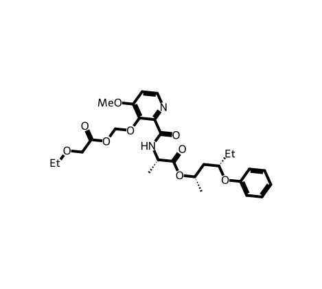 CCOCC(=O)OCOc1c(OC)ccnc1C(=O)N[C@@H](C)C(=O)O[C@@H](C)C[C@H](CC)Oc1ccccc1